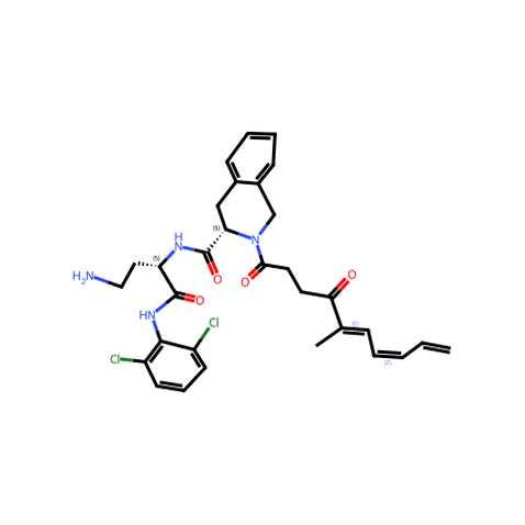 C=C/C=C\C=C(/C)C(=O)CCC(=O)N1Cc2ccccc2C[C@H]1C(=O)N[C@@H](CCN)C(=O)Nc1c(Cl)cccc1Cl